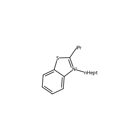 CCCCCCC[n+]1c(C(C)C)sc2ccccc21